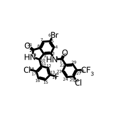 O=C(Nc1cc(Br)cc2c1C(c1cc(F)ccc1Cl)NC2=O)c1ccc(Cl)c(C(F)(F)F)c1